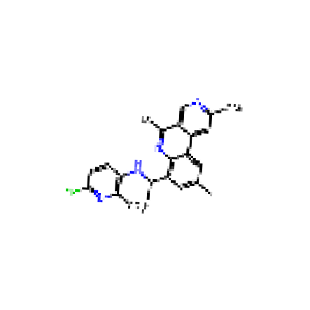 CCc1nc2c(C(C)Nc3ccc(Cl)nc3C(=O)O)cc(C)cc2c2cc(OC)ncc12